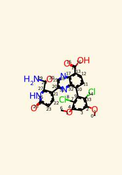 COc1cc(OC)c(Cl)c(-c2ccc(C(=O)O)c3ncc(-c4ccc(=O)[nH]c4C(N)=O)nc23)c1Cl